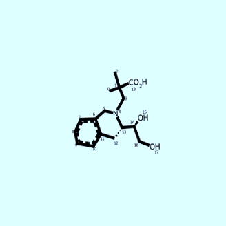 CC(C)(CN1Cc2ccccc2C[C@H]1[C@@H](O)CO)C(=O)O